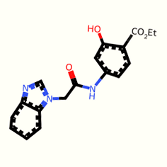 CCOC(=O)c1ccc(NC(=O)Cn2cnc3ccccc32)cc1O